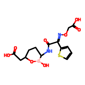 O=C(O)CO/N=C(/C(=O)NC1CCC(CC(=O)O)OB1O)c1cccs1